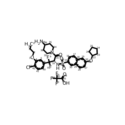 CCCOc1cc(C(F)(F)[C@@H](NS(=O)(=O)c2ccc3cc(OC4CCCC4)ccc3c2)C(=O)N2CCC(N)CC2)ccc1Cl.O=C(O)C(F)(F)F